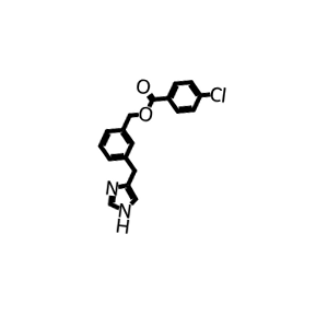 O=C(OCc1cccc(Cc2c[nH]cn2)c1)c1ccc(Cl)cc1